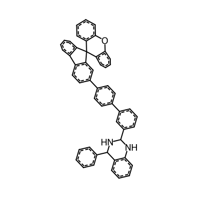 c1ccc(C2NC(c3cccc(-c4ccc(-c5ccc6c(c5)C5(c7ccccc7Oc7ccccc75)c5ccccc5-6)cc4)c3)Nc3ccccc32)cc1